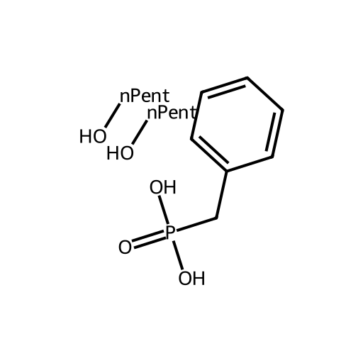 CCCCCO.CCCCCO.O=P(O)(O)Cc1ccccc1